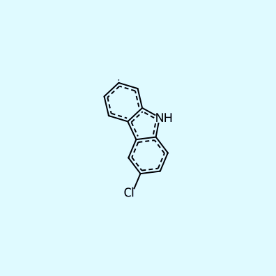 Clc1ccc2[nH]c3c[c]ccc3c2c1